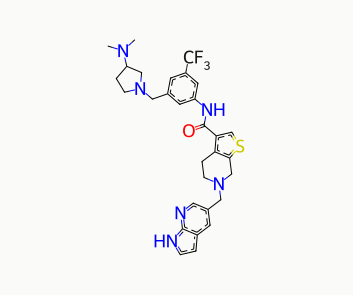 CN(C)C1CCN(Cc2cc(NC(=O)c3csc4c3CCN(Cc3cnc5[nH]ccc5c3)C4)cc(C(F)(F)F)c2)C1